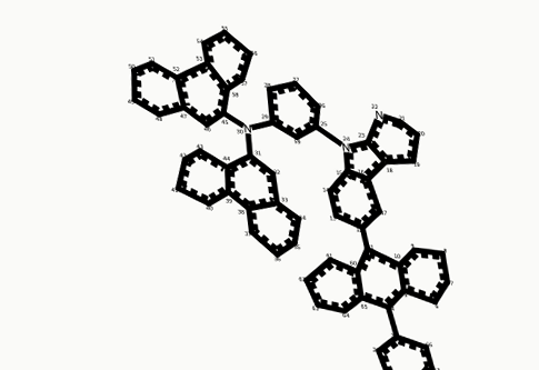 c1ccc(-c2c3ccccc3c(-c3ccc4c(c3)c3cccnc3n4-c3cccc(N(c4cc5ccccc5c5ccccc45)c4cc5ccccc5c5ccccc45)c3)c3ccccc23)cc1